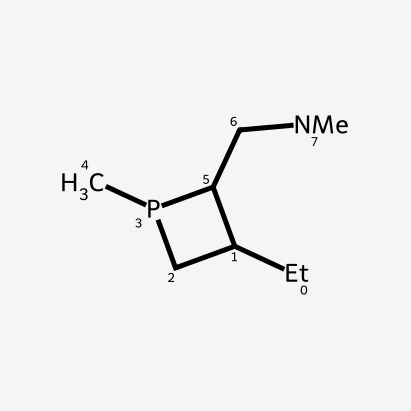 CCC1CP(C)C1CNC